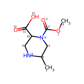 COC(=O)N1CC(C)NCC1C(=O)O